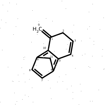 C=C1CC=CC2=C3C=CC(=C12)C3